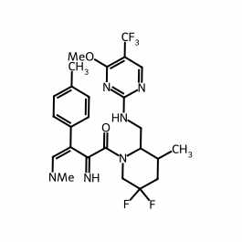 CN/C=C(\C(=N)C(=O)N1CC(F)(F)CC(C)C1CNc1ncc(C(F)(F)F)c(OC)n1)c1ccc(C)cc1